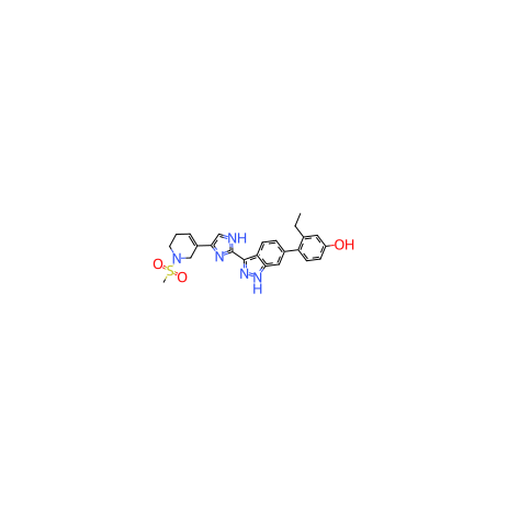 CCc1cc(O)ccc1-c1ccc2c(-c3nc(C4=CCCN(S(C)(=O)=O)C4)c[nH]3)n[nH]c2c1